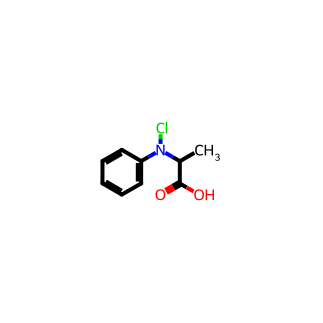 CC(C(=O)O)N(Cl)c1ccccc1